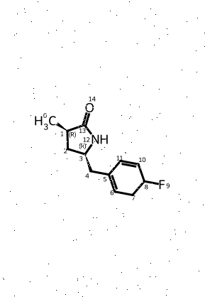 C[C@@H]1C[C@H](CC2=CCC(F)C=C2)NC1=O